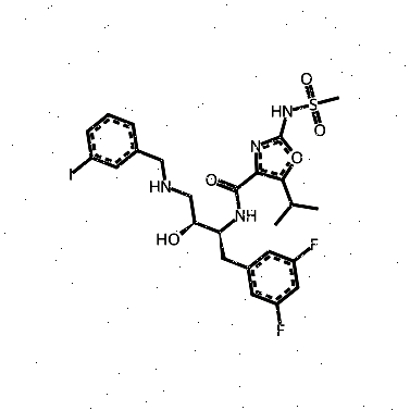 CC(C)c1oc(NS(C)(=O)=O)nc1C(=O)N[C@@H](Cc1cc(F)cc(F)c1)[C@@H](O)CNCc1cccc(I)c1